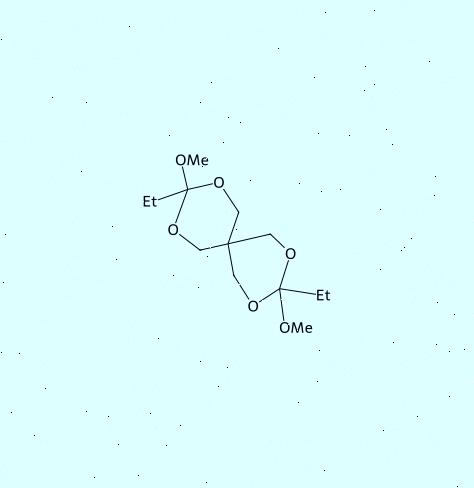 CCC1(OC)OCC2(CO1)COC(CC)(OC)OC2